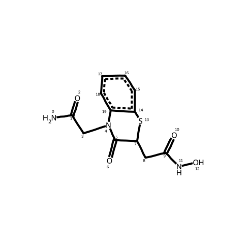 NC(=O)CN1C(=O)C(CC(=O)NO)Sc2ccccc21